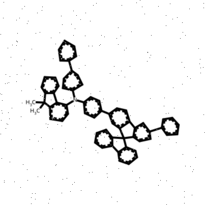 CC1(C)c2ccccc2-c2c(N(c3ccc(-c4ccccc4)cc3)c3ccc(-c4ccc5c(c4)C4(c6ccccc6-c6ccccc64)c4ccc(-c6ccccc6)cc4-5)cc3)cccc21